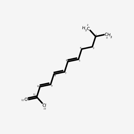 CC(C)CC/C=C/C=C/C=C/C(=O)Cl